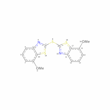 COc1cccc2nc(Sc3nc4cccc(OC)c4s3)sc12